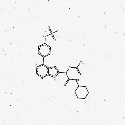 CS(=O)(=O)Nc1ccc(-c2ccnc3[nH]c(C(OC(=O)C(F)(F)F)C(=O)NC4CCCCC4)cc23)cc1